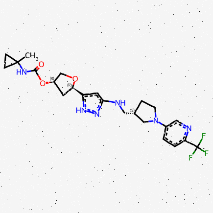 CC1(NC(=O)O[C@H]2CO[C@@H](c3cc(NC[C@@H]4CCN(c5ccc(C(F)(F)F)nc5)C4)n[nH]3)C2)CC1